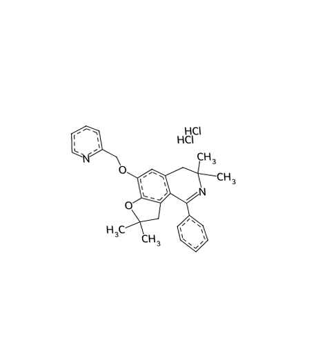 CC1(C)Cc2cc(OCc3ccccn3)c3c(c2C(c2ccccc2)=N1)CC(C)(C)O3.Cl.Cl